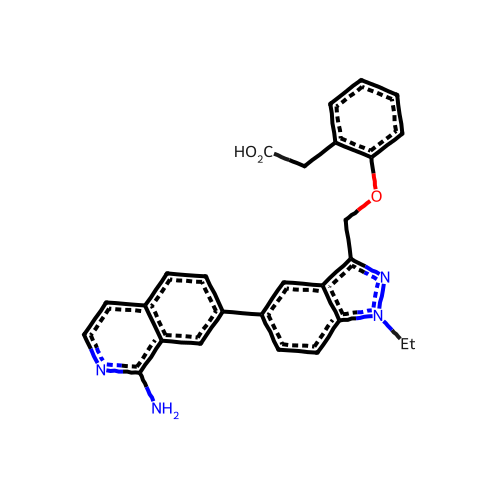 CCn1nc(COc2ccccc2CC(=O)O)c2cc(-c3ccc4ccnc(N)c4c3)ccc21